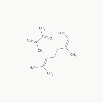 CC(=O)C(C)=O.CC(C)=CCCC(C)=CC=O